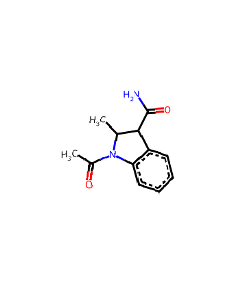 CC(=O)N1c2c[c]ccc2C(C(N)=O)C1C